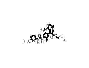 C=COC(=O)c1cn2ncnc(N)c2c1-c1ccc(NC(=O)Nc2cccc(C)n2)c(F)c1